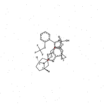 O=C(O)c1cc(F)c2nc(N3[C@H]4CC[C@H]3CC(OCc3c(-c5ccccc5OC(F)(F)F)noc3C3CC3)C4)sc2c1